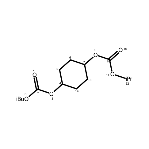 CC(C)COC(=O)OC1CCC(OC(=O)OC(C)C)CC1